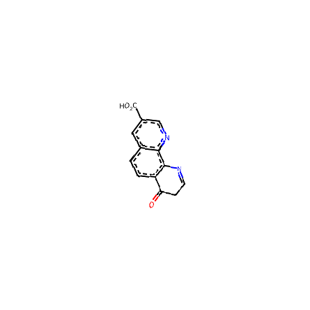 O=C(O)c1cnc2c3c(ccc2c1)C(=O)CC=N3